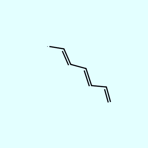 [CH2]C=CC=CC=C